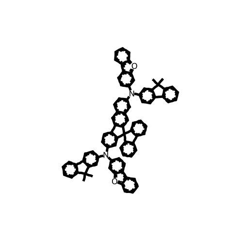 CC1(C)c2ccccc2-c2ccc(N(c3ccc4c(c3)C3(c5ccccc5-c5ccccc53)c3cc5cc(N(c6ccc7c(c6)C(C)(C)c6ccccc6-7)c6ccc7c(c6)oc6ccccc67)ccc5cc3-4)c3ccc4c(c3)oc3ccccc34)cc21